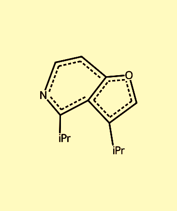 CC(C)c1coc2ccnc(C(C)C)c12